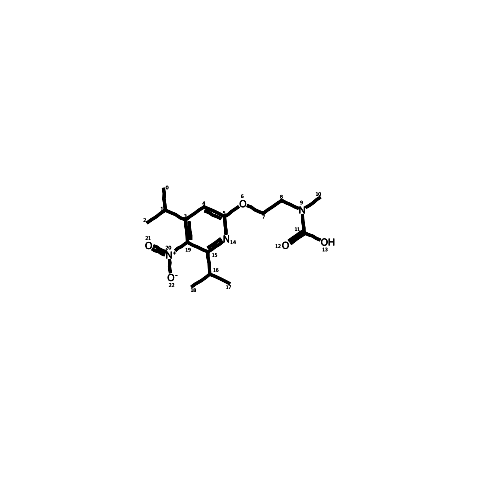 CC(C)c1cc(OCCN(C)C(=O)O)nc(C(C)C)c1[N+](=O)[O-]